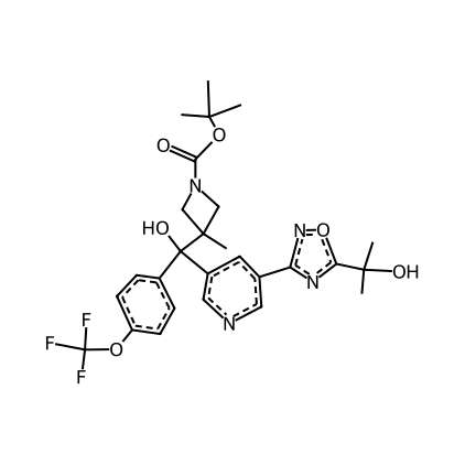 CC(C)(C)OC(=O)N1CC(C)(C(O)(c2ccc(OC(F)(F)F)cc2)c2cncc(-c3noc(C(C)(C)O)n3)c2)C1